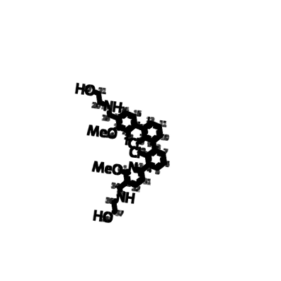 COc1nc(-c2cccc(-c3cccc(-c4ccc(CNCCO)c(OC)c4F)c3Cl)c2Cl)ccc1CNCCO